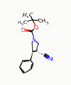 CC(C)(C)OC(=O)N1C[C@H](c2ccccc2)[C@@H](C#N)C1